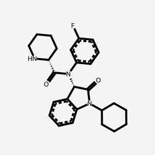 O=C1[C@@H](N(C(=O)[C@H]2CCCCN2)c2cccc(F)c2)c2ccccc2N1C1CCCCC1